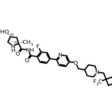 C[C@@]1(C(=O)NC(=O)c2ccc(-c3ccc(OCC4CCN(CC5(C(F)(F)F)CCC5)CC4)cn3)cc2F)C[C@@H](O)CN1